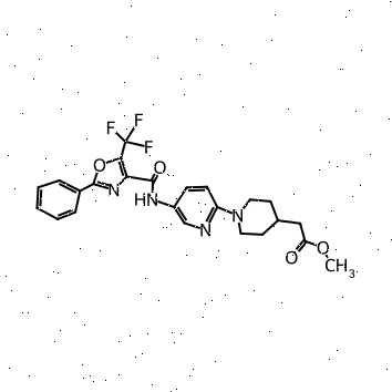 COC(=O)CC1CCN(c2ccc(NC(=O)c3nc(-c4ccccc4)oc3C(F)(F)F)cn2)CC1